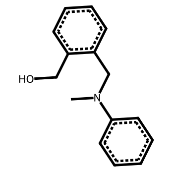 CN(Cc1ccccc1CO)c1ccccc1